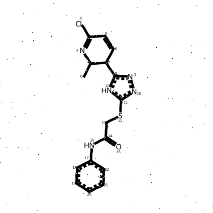 CC1N=C(Cl)C=CC1c1nnc(SCC(=O)Nc2ccccc2)[nH]1